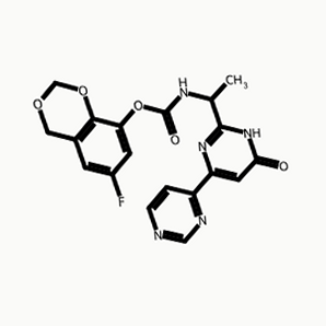 CC(NC(=O)Oc1cc(F)cc2c1OCOC2)c1nc(-c2ccncn2)cc(=O)[nH]1